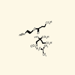 CCCCCCCCCCC=COC(=O)CCC(=O)O.CN(C)C.Cl.O=C(O)CC(O)(CC(=O)O)C(=O)O